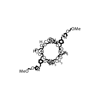 COCCOc1cnn(Cc2ccc(CC3OC(=O)C(CC(C)C)N(C)C(=O)C(C)OC(=O)C(CC(C)C)N(C)C(=O)C(Cc4ccc(Cn5cc(OCCOC)cn5)cc4)OC(=O)C(CC(C)C)N(C)C(=O)C(C)OC(=O)C(CC(C)C)N(C)C3=O)cc2)c1